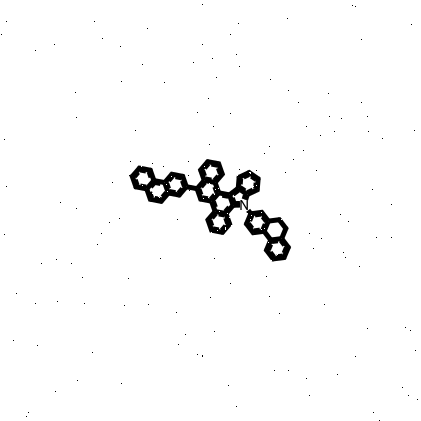 c1ccc2c(c1)CCc1cc(-n3c4ccccc4c4c5c6ccccc6c(-c6ccc7c(ccc8ccccc87)c6)cc5c5ccccc5c43)ccc1-2